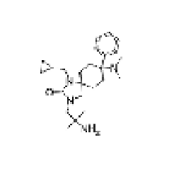 CN(C)[C@]1(c2ccccc2)CC[C@@]2(CC1)CN(CC(C)(C)N)C(=O)N2CC1CC1